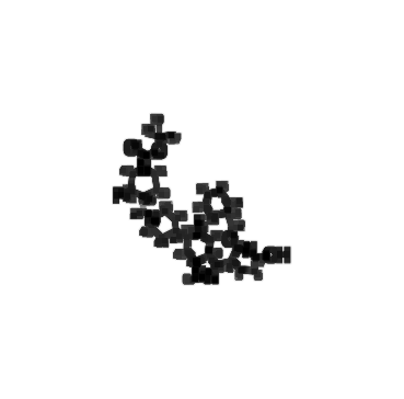 Cn1nc(-c2ccc(O)nc2OCc2ccccc2)c2cc(F)c(C3CCN(C[C@H]4CCN(C(=O)OC(C)(C)C)C[C@H]4F)CC3)cc21